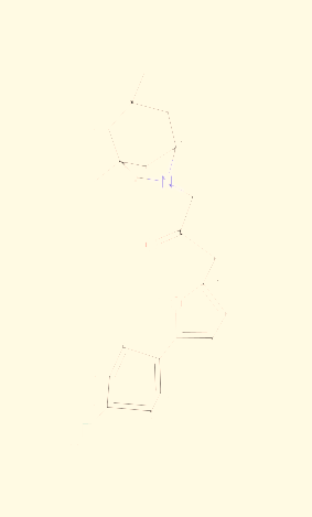 CC1(C)CC2CC(C)(CN2CC(=O)Cc2ccc(-c3ccc(F)cc3)o2)C1